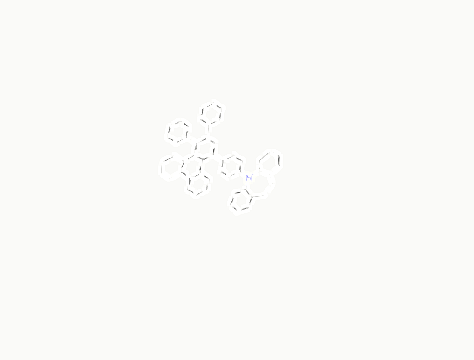 C1=CC2CCc3ccccc3N(c3ccc(-c4cc(-c5ccccc5)c(-c5ccccc5)c5c6c(c7ccccc7c45)CCC=C6)cc3)C2C=C1